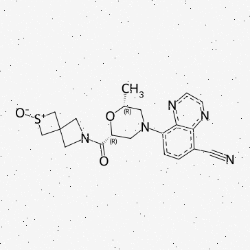 C[C@@H]1CN(c2ccc(C#N)c3nccnc23)C[C@H](C(=O)N2CC3(C2)C[S+]([O-])C3)O1